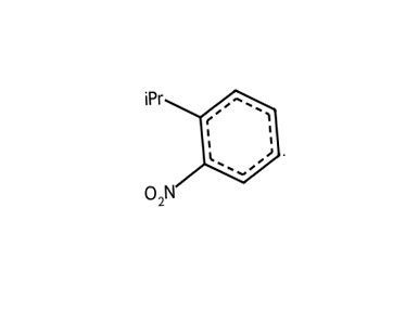 CC(C)c1cc[c]cc1[N+](=O)[O-]